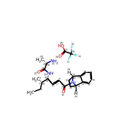 CC[C@H](C)[C@@H](/C=C/C(=O)N1[C@@H]2CC[C@H]1c1ccccc12)NC(=O)[C@H](C)N.O=C(O)C(F)(F)F